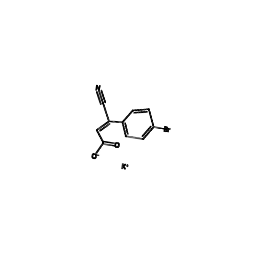 N#C/C(=C/C(=O)[O-])c1ccc(Br)cc1.[K+]